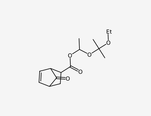 CCOC(C)(C)OC(C)OC(=O)C1CC2C=CC1C2=O